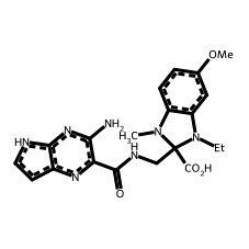 CCN1c2cc(OC)ccc2N(C)C1(CNC(=O)c1nc2cc[nH]c2nc1N)C(=O)O